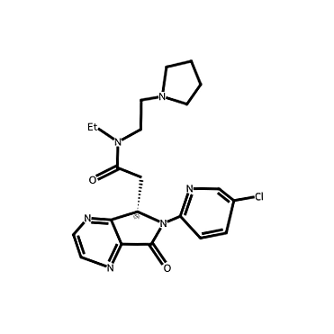 CCN(CCN1CCCC1)C(=O)C[C@H]1c2nccnc2C(=O)N1c1ccc(Cl)cn1